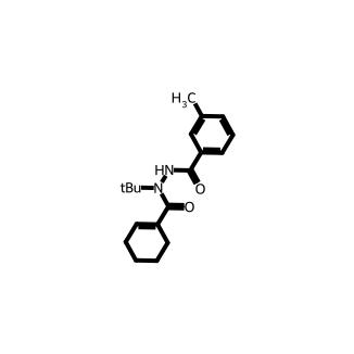 Cc1cccc(C(=O)NN(C(=O)C2=CCCCC2)C(C)(C)C)c1